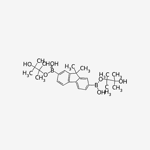 CC1(C)c2cc(B(O)OC(C)(C)C(C)(C)O)ccc2-c2ccc(B(O)OC(C)(C)C(C)(C)O)cc21